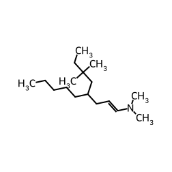 CCCCCC(C/C=C/N(C)C)CC(C)(C)CC